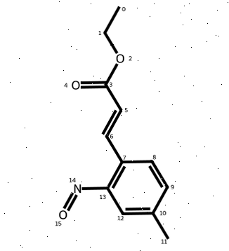 CCOC(=O)/C=C/c1ccc(C)cc1N=O